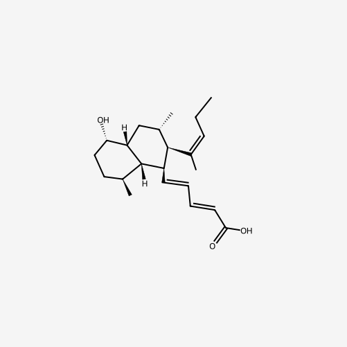 CC/C=C(/C)[C@H]1[C@@H](/C=C/C=C/C(=O)O)[C@H]2[C@@H](C[C@@H]1C)[C@@H](O)CC[C@@H]2C